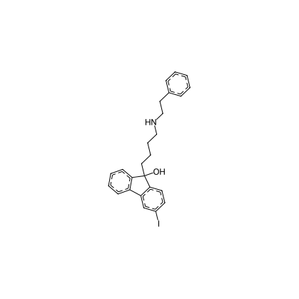 OC1(CCCCNCCc2ccccc2)c2ccccc2-c2cc(I)ccc21